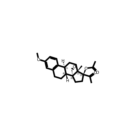 COc1ccc2c(c1)CC[C@@H]1[C@@H]2CC[C@@]2(C)[C@@]1(C=O)CC[C@@]2(OC(C)=O)C(C)=O